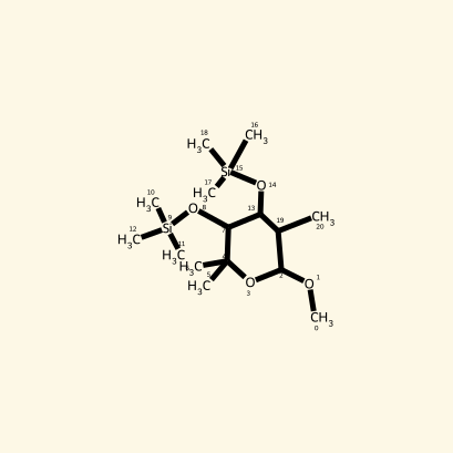 COC1OC(C)(C)C(O[Si](C)(C)C)C(O[Si](C)(C)C)C1C